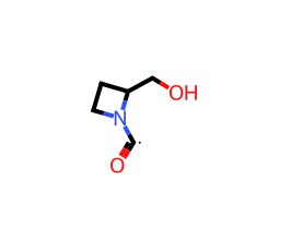 O=[C]N1CCC1CO